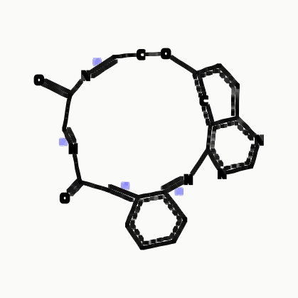 O=C1/C=N\C(=O)/C=c2/cccc/c2=N/c2ncnc3ccc(cc23)OC/C=N\1